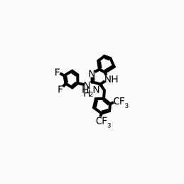 NC1(Cc2ccc(C(F)(F)F)cc2C(F)(F)F)Nc2ccccc2N=C1Nc1ccc(F)c(F)c1